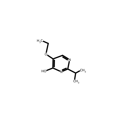 CCOc1cnc(C(C)C)nc1O